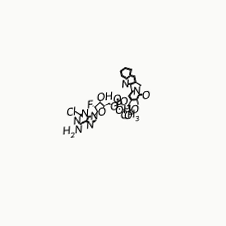 CC[C@@]1(OP(=O)(O)OC[C@H]2O[C@@H](n3cnc4c(N)nc(Cl)nc43)[C@H](F)[C@@H]2O)C(=O)OCc2c1cc1n(c2=O)Cc2cc3ccccc3nc2-1